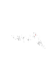 Cn1c(CNc2cccc(C(=O)NC3(c4ccc(C5CC5(NC(=O)c5cccc(NCc6nnc(-c7ccncn7)n6C)c5)c5ccccc5)nc4)CCC3)c2)nnc1-c1ccncn1